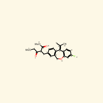 COCC(=O)C(Cc1ccc2c(c1)COc1cc(F)ccc1C2=C(C)C#N)C(=O)OC